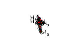 CC#CCOc1ccc(C[C@H](NC(=O)[C@@H](C=CCCCCCCC(=O)CCCCCCC)[C@@](O)(CC(N)=O)C(=O)O)C(=O)OC)cc1